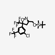 CC(C)(C)[Si](C)(C)OCC1=NOC(c2cc(Cl)cc(C(F)(F)F)c2)(C(F)(F)F)C1